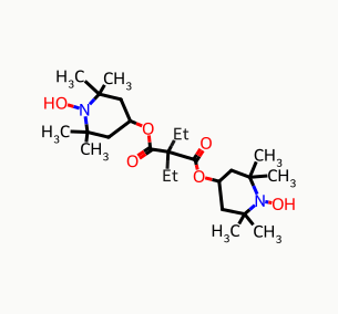 CCC(CC)(C(=O)OC1CC(C)(C)N(O)C(C)(C)C1)C(=O)OC1CC(C)(C)N(O)C(C)(C)C1